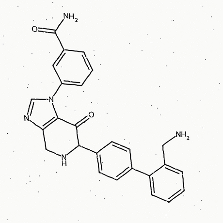 NCc1ccccc1-c1ccc(C2NCc3ncn(-c4cccc(C(N)=O)c4)c3C2=O)cc1